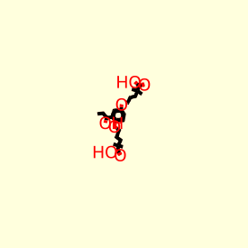 CCC(O)c1cc(OCCCC(C)(C)C(=O)O)ccc1OCCCC(C)(C)C(=O)O